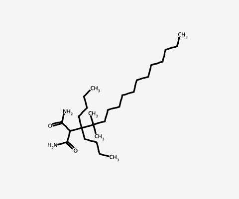 CCCCCCCCCCCCC(C)(C)C(CCCC)(CCCC)C(C(N)=O)C(N)=O